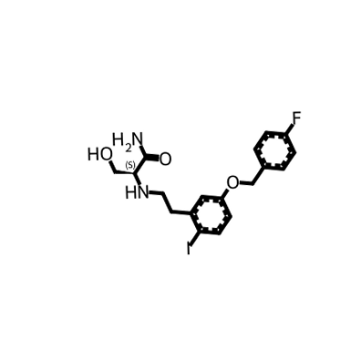 NC(=O)[C@H](CO)NCCc1cc(OCc2ccc(F)cc2)ccc1I